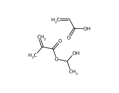 C=C(C)C(=O)OC(C)O.C=CC(=O)O